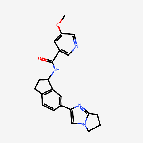 COc1cncc(C(=O)NC2CCc3ccc(-c4cn5c(n4)CCC5)cc32)c1